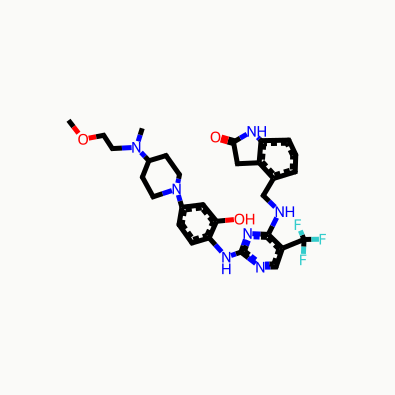 COCCN(C)C1CCN(c2ccc(Nc3ncc(C(F)(F)F)c(NCc4cccc5c4CC(=O)N5)n3)c(O)c2)CC1